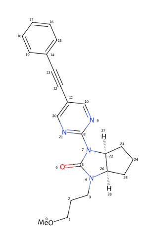 COCCCN1C(=O)N(c2ncc(C#Cc3ccccc3)cn2)[C@H]2CCC[C@H]21